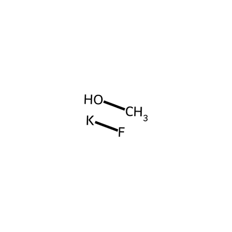 CO.[F][K]